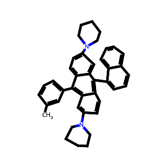 Cc1cccc(-c2c3cc(N4CCCCC4)ccc3c(-c3cccc4ccccc34)c3cc(N4CCCCC4)ccc23)c1